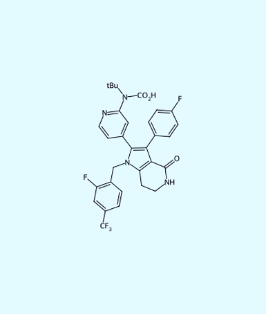 CC(C)(C)N(C(=O)O)c1cc(-c2c(-c3ccc(F)cc3)c3c(n2Cc2ccc(C(F)(F)F)cc2F)CCNC3=O)ccn1